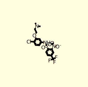 CN(C)CCOc1cc(NS(=O)(=O)c2ccc(C(F)(F)F)cc2[N+](=O)[O-])ccc1Cl